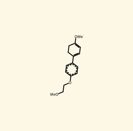 COCCOc1ccc(C2=CC=C(OC)CC2)cc1